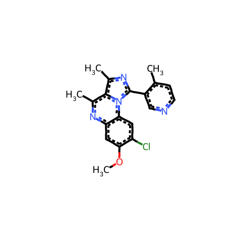 COc1cc2nc(C)c3c(C)nc(-c4cnccc4C)n3c2cc1Cl